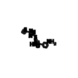 Cn1c(SCN2C=C(c3cccc(N)c3)ON2)nnc1-c1cccs1